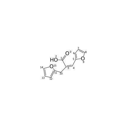 O=C(O)C(=Cc1ccco1)Cc1ccco1